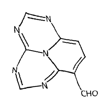 O=CC1=CC=C2N=CN=C3N=CN=C1N23